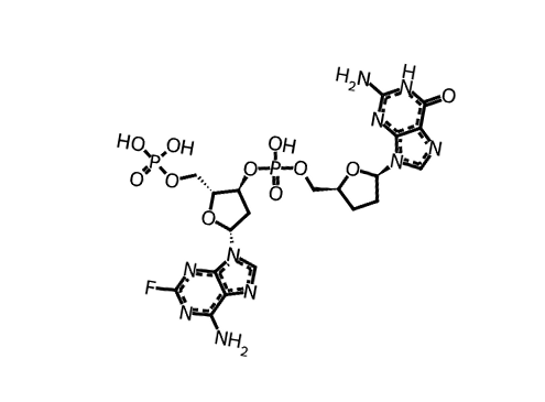 Nc1nc2c(ncn2[C@H]2CC[C@@H](COP(=O)(O)O[C@H]3C[C@H](n4cnc5c(N)nc(F)nc54)O[C@@H]3COP(=O)(O)O)O2)c(=O)[nH]1